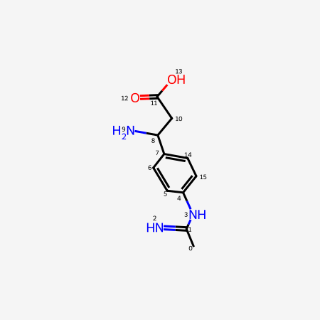 CC(=N)Nc1ccc(C(N)CC(=O)O)cc1